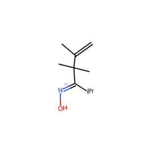 C=C(C)C(C)(C)/C(=N/O)C(C)C